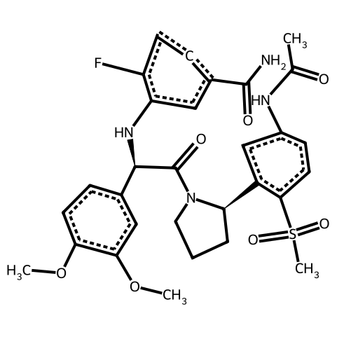 COc1ccc([C@@H](Nc2cc(C(N)=O)ccc2F)C(=O)N2CCC[C@@H]2c2cc(NC(C)=O)ccc2S(C)(=O)=O)cc1OC